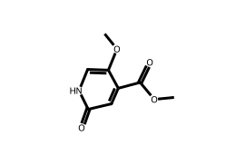 COC(=O)c1cc(=O)[nH]cc1OC